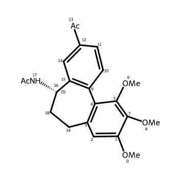 COc1cc2c(c(OC)c1OC)-c1ccc(C(C)=O)cc1[C@@H](NC(C)=O)CC2